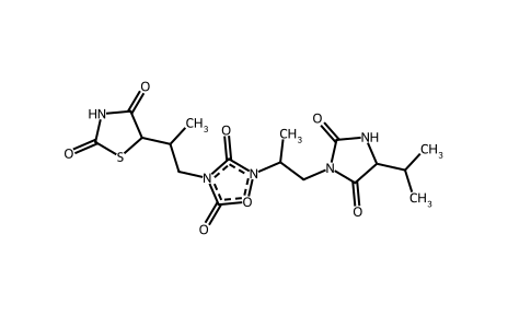 CC(C)C1NC(=O)N(CC(C)n2oc(=O)n(CC(C)C3SC(=O)NC3=O)c2=O)C1=O